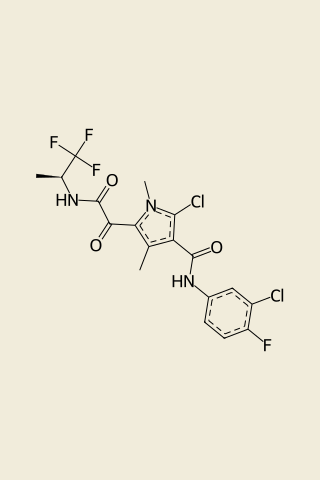 Cc1c(C(=O)Nc2ccc(F)c(Cl)c2)c(Cl)n(C)c1C(=O)C(=O)N[C@@H](C)C(F)(F)F